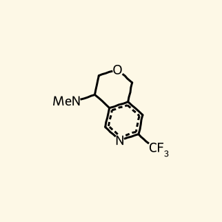 CNC1COCc2cc(C(F)(F)F)ncc21